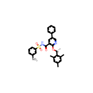 Cc1cc(C)c([C@@H](C)Oc2ncc(-c3ccccc3)cc2C(=O)NS(=O)(=O)c2cccc([N+](=O)[O-])c2)c(C)c1